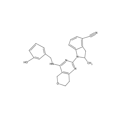 CC1Cc2c(C#N)cccc2N1c1nc2c(c(NCc3cccc(O)c3)n1)COCC2